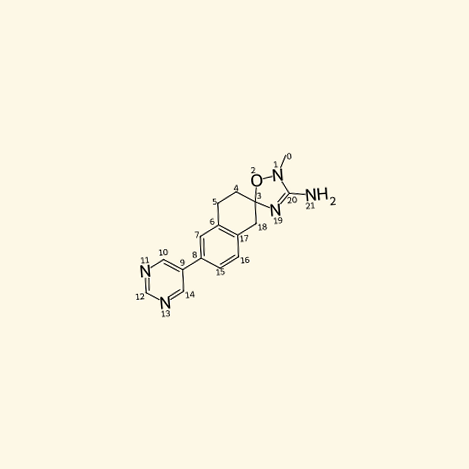 CN1OC2(CCc3cc(-c4cncnc4)ccc3C2)N=C1N